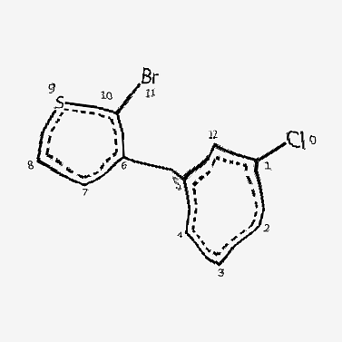 Clc1cccc(-c2ccsc2Br)c1